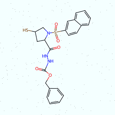 O=C(NNC(=O)C1CC(S)CN1S(=O)(=O)c1ccc2ccccc2c1)OCc1ccccc1